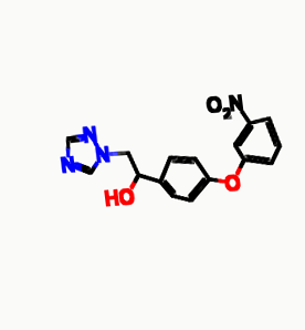 O=[N+]([O-])c1cccc(Oc2ccc(C(O)Cn3cncn3)cc2)c1